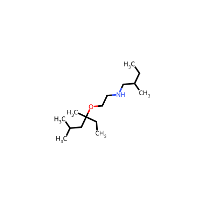 CCC(C)CNCCOC(C)(CC)CC(C)C